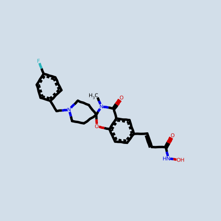 CN1C(=O)c2cc(C=CC(=O)NO)ccc2OC12CCN(Cc1ccc(F)cc1)CC2